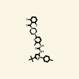 Cc1ccc(-n2nc(C(C)(C)C)cc2NC(=O)Nc2ccc(N3CCN(C(=O)c4c(F)cccc4F)CC3)nc2C)cc1